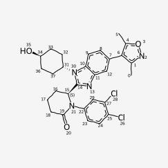 Cc1noc(C)c1-c1ccc2c(c1)nc([C@@H]1CCCC(=O)N1c1ccc(Cl)c(Cl)c1)n2[C@H]1CC[C@H](O)CC1